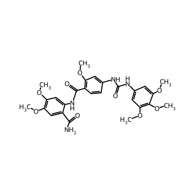 COc1cc(NC(=O)c2ccc(NC(=O)Nc3cc(OC)c(OC)c(OC)c3)cc2OC)c(C(N)=O)cc1OC